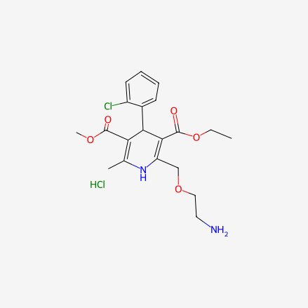 CCOC(=O)C1=C(COCCN)NC(C)=C(C(=O)OC)C1c1ccccc1Cl.Cl